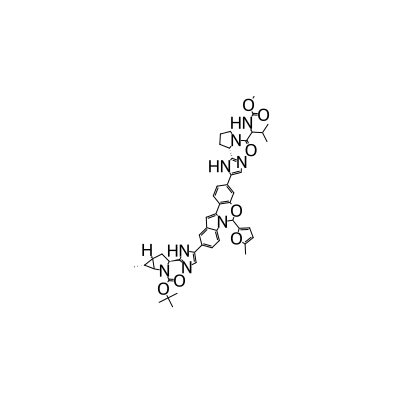 COC(=O)N[C@H](C(=O)N1CCC[C@H]1c1ncc(-c2ccc3c(c2)OC(c2ccc(C)o2)n2c-3cc3cc(-c4cnc([C@@H]5C[C@@H]6C([C@@H]6C)N5C(=O)OC(C)(C)C)[nH]4)ccc32)[nH]1)C(C)C